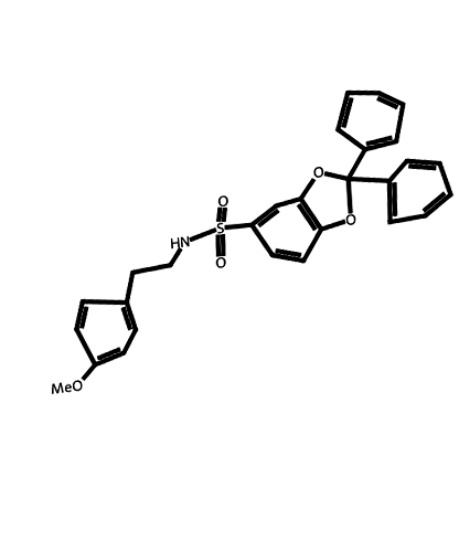 COc1ccc(CCNS(=O)(=O)c2ccc3c(c2)OC(c2ccccc2)(c2ccccc2)O3)cc1